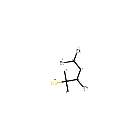 CCC(CC)CC(C(C)C)C(C)(C)S